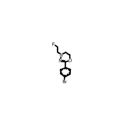 FCCN1CCOC(c2ccc(Br)cc2)=N1